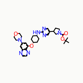 CC(C)(C)OC(=O)N1CCC(c2cnc(N[C@H]3CC[C@@H](Oc4cc(N5CCOCC5)cc5nccnc45)CC3)nc2)C1